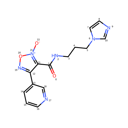 O=C(NCCCn1ccnc1)c1c(-c2cccnc2)no[n+]1[O-]